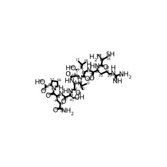 CC(C)C[C@H](NC(=O)[C@H](CO)NC(=O)[C@H](CC(C)C)NC(=O)[C@H](CCCNC(=N)N)NC(=O)[C@@H](N)CS)C(=O)N[C@@H](CO)C(=O)N[C@@H](CCC(N)=O)C(=O)N1CCC[C@H]1C(=O)O